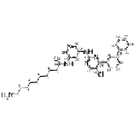 NCCCCCCCCCC(=O)Nc1cncc(Nc2ncc(Cl)c(-c3cccc(-c4ccccc4)c3)n2)c1